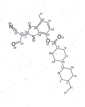 CCC1CCC(C2CCC(C(=O)Oc3ccc(C)c4c3S/C(=C(/C#N)C=O)S4)CC2)CC1